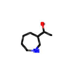 CC([O])C1CCCCNC1